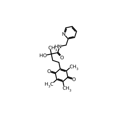 CC1=C(C)C(=O)C(CCC(C)(O)C(=O)NCc2ccccn2)=C(C)C1=O